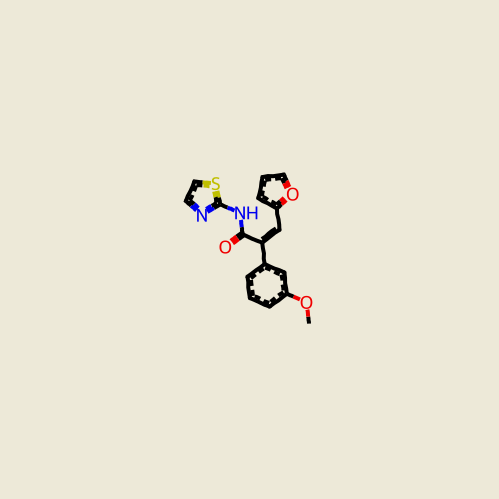 COc1cccc(C(=Cc2ccco2)C(=O)Nc2nccs2)c1